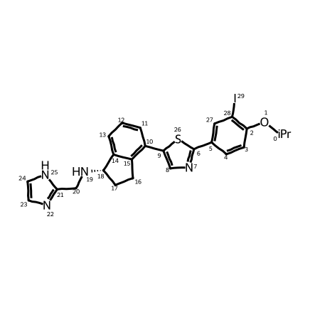 CC(C)Oc1ccc(-c2ncc(-c3cccc4c3CC[C@@H]4NCc3ncc[nH]3)s2)cc1I